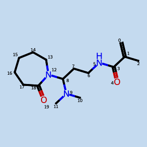 C=C(C)C(=O)NCCC(N(C)C)N1CCCCCC1=O